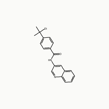 CCC(C)(C)c1ccc(C(=O)Nc2cnc3ccccc3c2)cc1